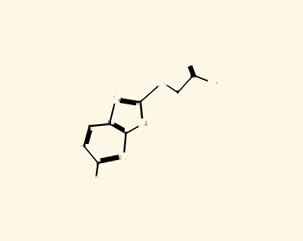 O=C(O)CNc1nc2ccc(Cl)nc2[nH]1